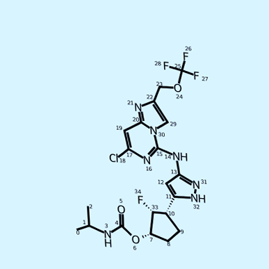 CC(C)NC(=O)O[C@H]1CC[C@@H](c2cc(Nc3nc(Cl)cc4nc(COC(F)(F)F)cn34)n[nH]2)[C@H]1F